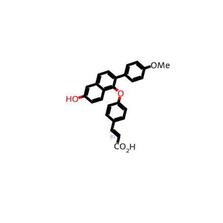 COc1ccc(-c2ccc3cc(O)ccc3c2Oc2ccc(/C=C/C(=O)O)cc2)cc1